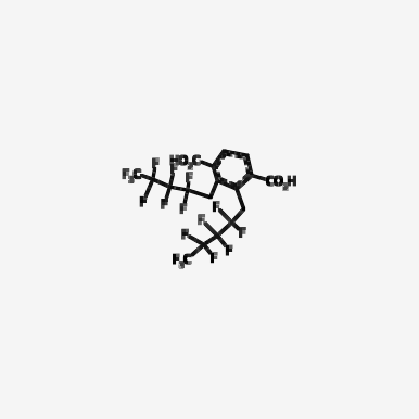 O=C(O)c1ccc(C(=O)O)c(CC(F)(F)C(F)(F)C(F)(F)C(F)(F)F)c1CC(F)(F)C(F)(F)C(F)(F)C(F)(F)F